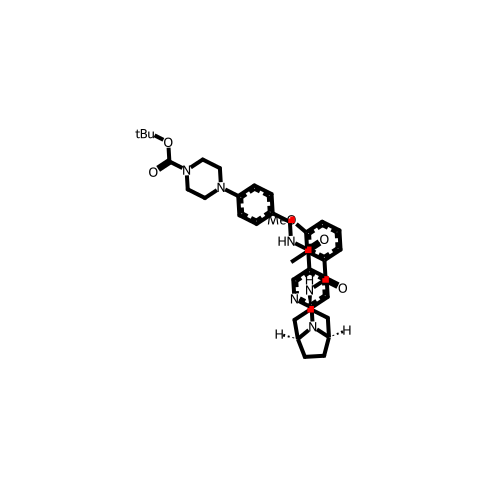 COc1cccc(C(=O)N[C@H]2C[C@H]3CC[C@@H](C2)N3c2ccc(C(=O)NCc3ccc(N4CCN(C(=O)OC(C)(C)C)CC4)cc3)cn2)c1C